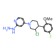 COc1ccc(F)cc1C1CCN(c2ccnc(NN)c2)CC1Cl